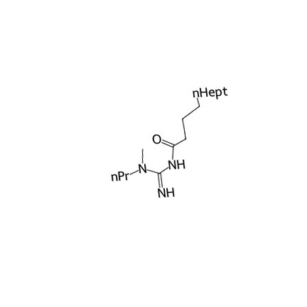 CCCCCCCCCCC(=O)NC(=N)N(C)CCC